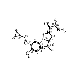 COc1ccc([C@@H]2CN(C(=O)[C@@H](C)N)C[C@@]2(C)[C@@H](C)O)cc1OCC1CC1